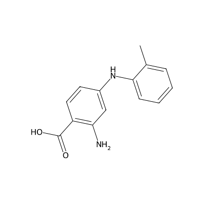 Cc1ccccc1Nc1ccc(C(=O)O)c(N)c1